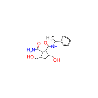 CC(NC(=O)C1C(CO)CC(CO)C1C(N)=O)c1ccccc1